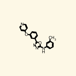 Cc1cccc(Nc2nnc(-c3cccc(Oc4ccncc4)c3)o2)c1